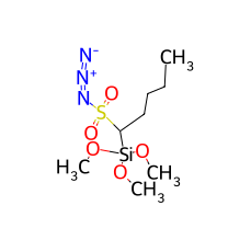 CCCCC([Si](OC)(OC)OC)S(=O)(=O)N=[N+]=[N-]